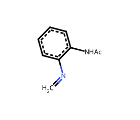 C=Nc1ccccc1NC(C)=O